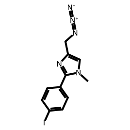 Cn1cc(CN=[N+]=[N-])nc1-c1ccc(I)cc1